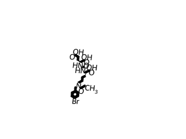 CCC(=O)N(CCCC[C@H](NC(=O)N[C@@H](CCC(=O)O)C(=O)O)C(=O)O)Cc1ccc(Br)cc1